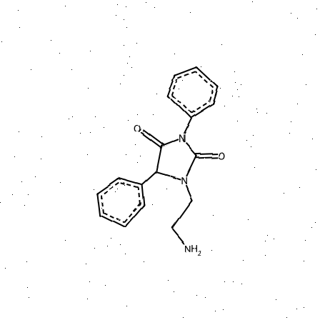 NCCN1C(=O)N(c2ccccc2)C(=O)C1c1ccccc1